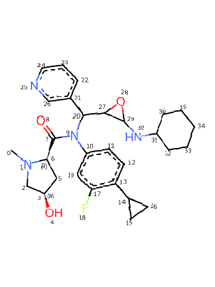 CN1C[C@H](O)C[C@@H]1C(=O)N(c1ccc(C2CC2)c(F)c1)C(c1cccnc1)C1OC1NC1CCCCC1